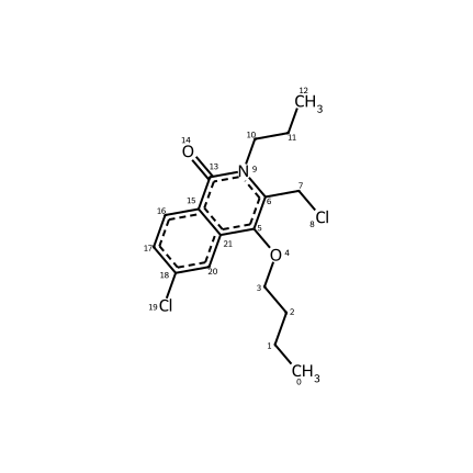 CCCCOc1c(CCl)n(CCC)c(=O)c2ccc(Cl)cc12